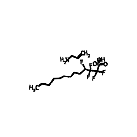 C=CCN.CCCCCCCCCC(F)C(F)(F)C(F)(F)S(=O)(=O)O